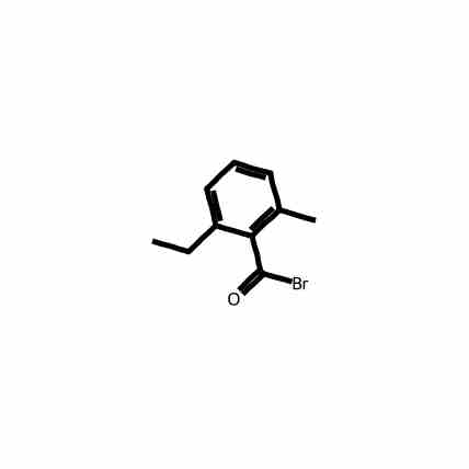 CCc1cccc(C)c1C(=O)Br